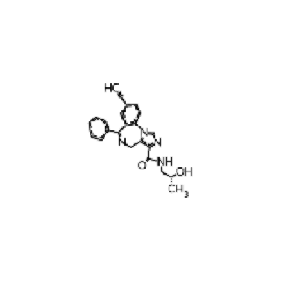 C#Cc1ccc2c(c1)C(c1ccccc1)=NCc1c(C(=O)NC[C@@H](C)O)ncn1-2